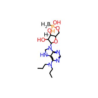 B[PH]1(O)OCC2OC(N3CNc4c(N(CCC)CCC)ncnc43)C(O)[C@H]2O1